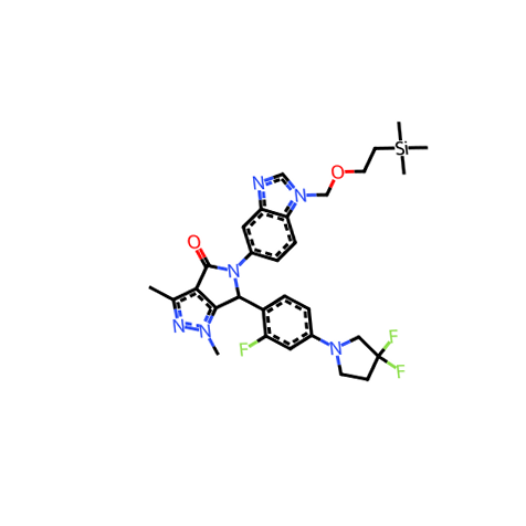 Cc1nn(C)c2c1C(=O)N(c1ccc3c(c1)ncn3COCC[Si](C)(C)C)C2c1ccc(N2CCC(F)(F)C2)cc1F